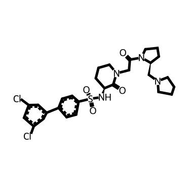 O=C1[C@@H](NS(=O)(=O)c2ccc(-c3cc(Cl)cc(Cl)c3)cc2)CCCN1CC(=O)N1CCC[C@H]1CN1CCCC1